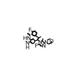 C=CNC1=CC(/C(=C(/C)c2ccc(F)cc2)N2C(F)=CN=C(N3CCOCC3)C2C)CC=C1NC